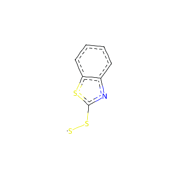 [S]Sc1nc2ccccc2s1